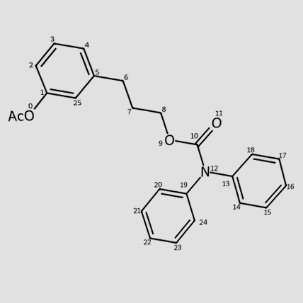 CC(=O)Oc1cccc(CCCOC(=O)N(c2ccccc2)c2ccccc2)c1